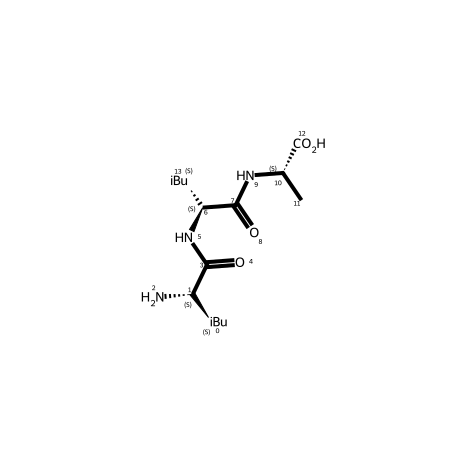 CC[C@H](C)[C@H](N)C(=O)N[C@H](C(=O)N[C@@H](C)C(=O)O)[C@@H](C)CC